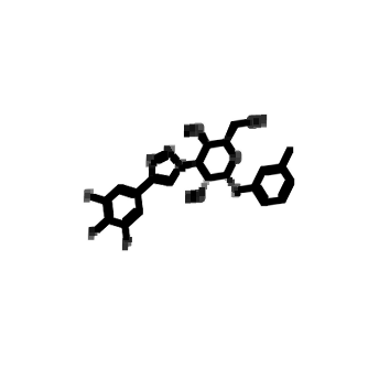 Cc1cccc(S[C@H]2O[C@H](CO)[C@H](O)[C@H](n3cc(-c4cc(F)c(F)c(F)c4)nn3)[C@H]2O)c1